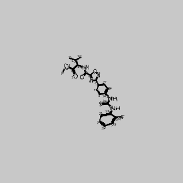 COC(=O)C(NC(=O)c1nc(-c2ccc(NC(=S)Nc3ccccc3F)cc2)no1)C(C)C